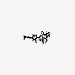 CC(C)O/N=C(\CNC(=O)c1cn(C)nc1C(F)F)c1ncc(C#CC2CC2)cc1Cl